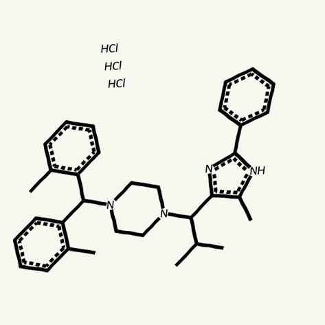 Cc1ccccc1C(c1ccccc1C)N1CCN(C(c2nc(-c3ccccc3)[nH]c2C)C(C)C)CC1.Cl.Cl.Cl